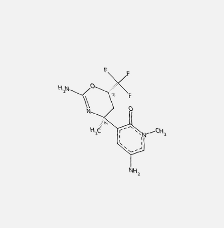 Cn1cc(N)cc([C@]2(C)C[C@@H](C(F)(F)F)OC(N)=N2)c1=O